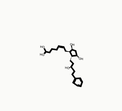 OC(O)CCC/C=C\C[C@@H]1[C@@H](CC[C@@H](O)CCc2ccccc2)[C@H](O)C[C@@H]1O